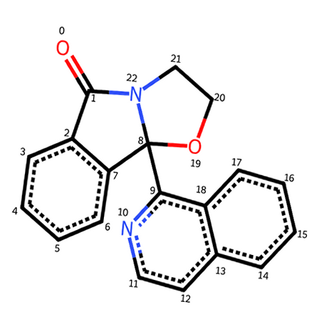 O=C1c2ccccc2C2(c3nccc4ccccc34)OCCN12